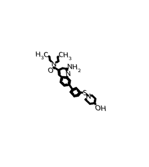 CCCN(CCC)C(=O)C1=Cc2ccc(-c3cccc(SN4CCC(O)CC4)c3)cc2N=C(N)C1